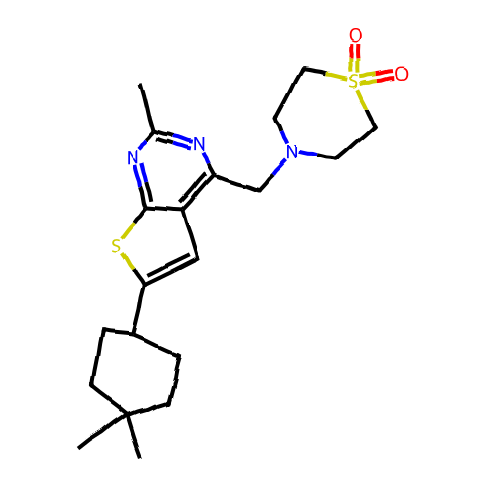 Cc1nc(CN2CCS(=O)(=O)CC2)c2cc(C3CCC(C)(C)CC3)sc2n1